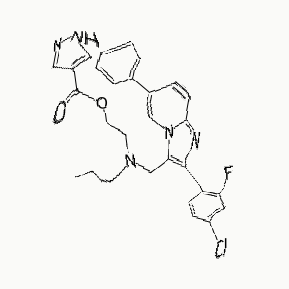 CCCN(CCOC(=O)c1cn[nH]c1)Cc1c(-c2ccc(Cl)cc2F)nc2ccc(-c3ccccc3)cn12